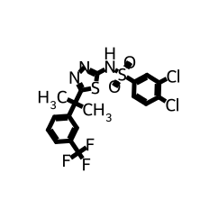 CC(C)(c1cccc(C(F)(F)F)c1)c1nnc(NS(=O)(=O)c2ccc(Cl)c(Cl)c2)s1